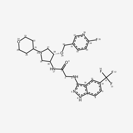 O=C(CNc1n[nH]c2ccc(C(F)(F)F)cc12)NC1CN(C2CCOCC2)C[C@@H]1OCc1ccc(F)nc1